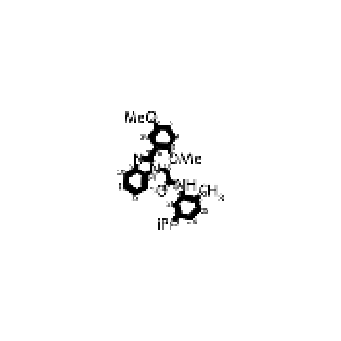 COc1ccc(OC)c(-c2nc3ccccc3n2CC(=O)Nc2cc(C(C)C)ccc2C)c1